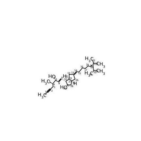 CC#CC[C@@H](C)[C@H](O)/C=C/[C@@H]1[C@H]2C/C(=C/CCCCN(C(C)C)C(C)C)C[C@H]2C[C@H]1O